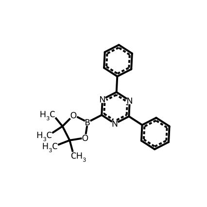 CC1(C)OB(c2nc(-c3ccccc3)nc(-c3ccccc3)n2)OC1(C)C